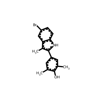 Cc1cc(-c2[nH]c3ccc(Br)cc3c2C)cc(C)c1O